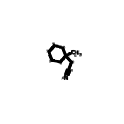 CC1(CC#N)CCCCC1